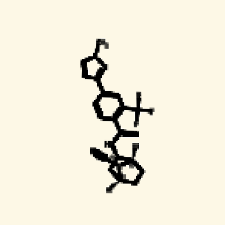 Cn1ccc(-c2ccc(C(=O)N[C@@H]3C[C@@H]4CC[C@H]3N4C#N)c(C(F)(F)F)c2)n1